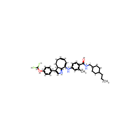 CCCC1CCC(CNC(=O)c2ccc(N/C3=C/C=C\CCC4C(c5ccc(OC(F)F)cc5)=CN=C34)cc2C)CC1